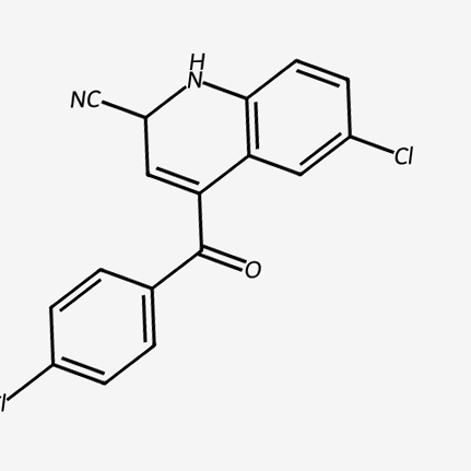 N#CC1C=C(C(=O)c2ccc(Cl)cc2)c2cc(Cl)ccc2N1